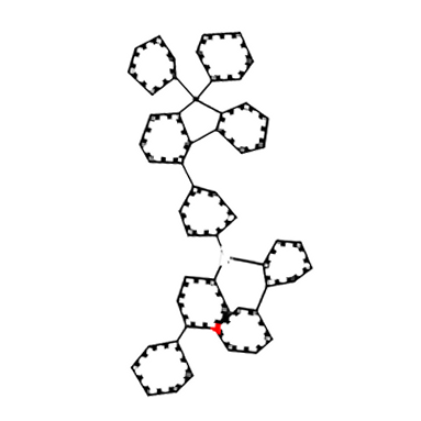 c1ccc(-c2ccc(N(c3ccc(-c4cccc5c4-c4ccccc4C5(c4ccccc4)c4ccccc4)cc3)c3ccccc3-c3ccccc3)cc2)cc1